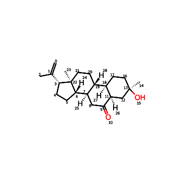 C=C(C)[C@H]1CC[C@H]2[C@@H]3CC(=O)[C@@H]4C[C@](C)(O)CC[C@@H]4[C@H]3CC[C@]12C